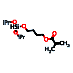 C=C(C)C(=O)OCCCCO[SiH](OC(C)C)OC(C)C